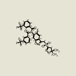 CC1(C)CC(S(=O)(=O)Cc2noc3cc(N(C(=O)c4cccc(C(F)(F)F)c4)C(=O)c4cccc(C(F)(F)F)c4)c(F)cc23)=NO1